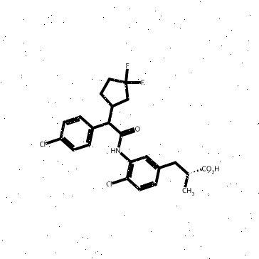 C[C@H](Cc1ccc(Cl)c(NC(=O)C(c2ccc(Cl)cc2)C2CCC(F)(F)C2)c1)C(=O)O